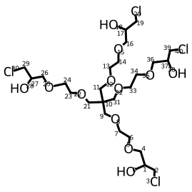 OC(CCl)COCCOCC(COCCOCC(O)CCl)(COCCOCC(O)CCl)COCCOCC(O)CCl